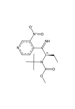 CC[C@H](C(=N)c1ccncc1[N+](=O)[O-])N(C(=O)OC)C(C)(C)C